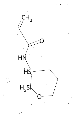 C=CC(=O)N[SiH]1CCCO[SiH2]1